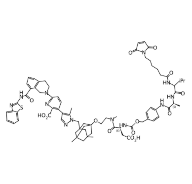 Cc1c(-c2ccc(N3CCc4cccc(C(=O)Nc5nc6ccccc6s5)c4C3)nc2C(=O)O)cnn1CC12CC3(C)CC(C)(C1)CC(OCCN(C)C(=O)[C@H](CC(=O)O)NC(=O)OCc1ccc(NC(=O)[C@H](C)NC(=O)C(NC(=O)CCCCCN4C(=O)C=CC4=O)C(C)C)cc1)(C3)C2